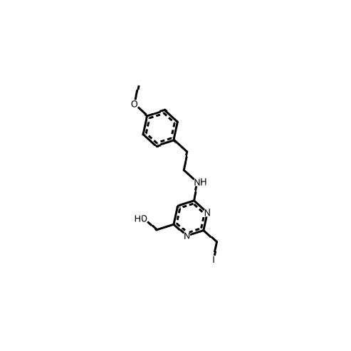 COc1ccc(CCNc2cc(CO)nc(CI)n2)cc1